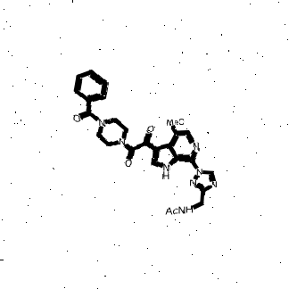 COc1cnc(-n2cnc(CNC(C)=O)n2)c2[nH]cc(C(=O)C(=O)N3CCN(C(=O)c4ccccc4)CC3)c12